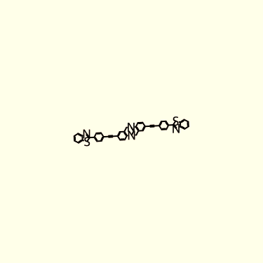 C(#Cc1ccc2c(c1)CN1CN2Cc2cc(C#Cc3ccc(-c4nc5ccccc5s4)cc3)ccc21)c1ccc(-c2nc3ccccc3s2)cc1